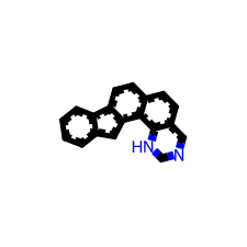 c1ccc2c(c1)cc1c2ccc2ccc3cnc[nH]c3c21